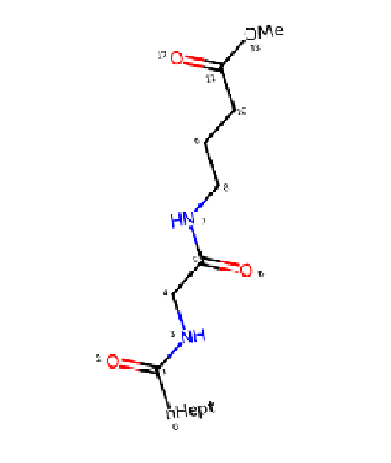 CCCCCCCC(=O)NCC(=O)NCCCC(=O)OC